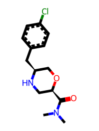 CN(C)C(=O)[C@H]1CN[C@@H](Cc2ccc(Cl)cc2)CO1